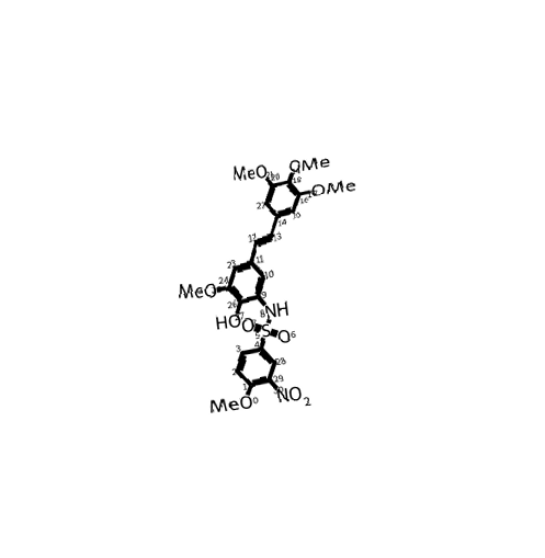 COc1ccc(S(=O)(=O)Nc2cc(C=Cc3cc(OC)c(OC)c(OC)c3)cc(OC)c2O)cc1[N+](=O)[O-]